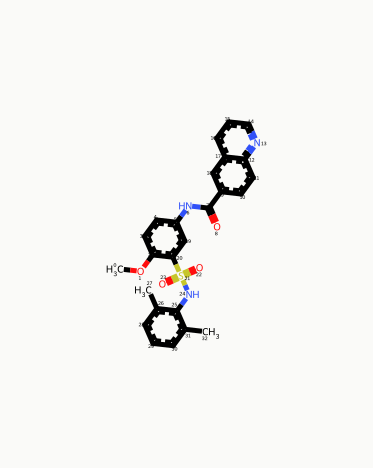 COc1ccc(NC(=O)c2ccc3ncccc3c2)cc1S(=O)(=O)Nc1c(C)cccc1C